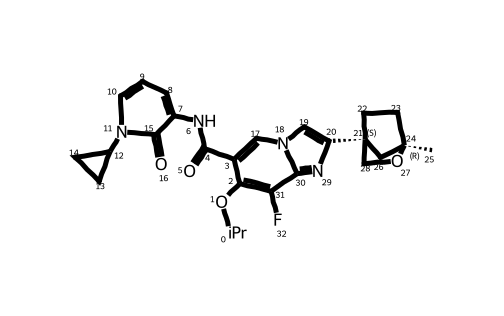 CC(C)Oc1c(C(=O)Nc2cccn(C3CC3)c2=O)cn2cc([C@]34CC[C@](C)(C3)OC4)nc2c1F